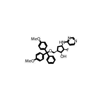 COc1ccc(C(OC[C@H]2C[C@@H](Nc3ccncn3)[C@@H](F)[C@@H]2O)(c2ccccc2)c2ccc(OC)cc2)cc1